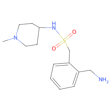 CN1CCC(NS(=O)(=O)Cc2ccccc2CN)CC1